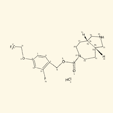 Cl.O=C(OCc1ccc(OCC(F)(F)F)cc1F)N1CC[C@@H]2CNC[C@@H]2CC1